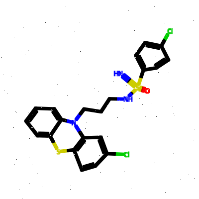 N=S(=O)(NCCCN1c2ccccc2Sc2ccc(Cl)cc21)c1ccc(Cl)cc1